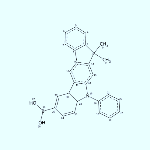 CC1(C)c2ccccc2-c2cc3c(cc21)N(c1ccccc1)C1C=CC(B(O)O)=CC31